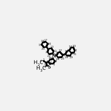 C=Cc1c(C)sc2ccc(N(c3ccc(-c4ccccc4)cc3)c3ccc(-c4ccc5ccccc5c4)cc3)cc12